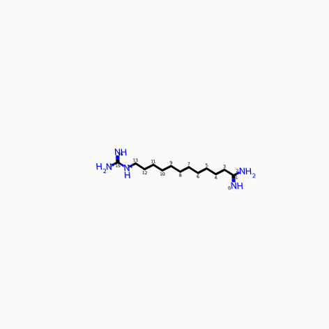 N=C(N)CCCCCCCCCCCNC(=N)N